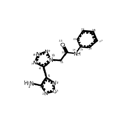 Nc1nonc1-c1nnnn1CC(=O)Nc1ccccc1